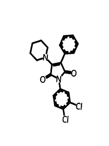 O=C1C(c2ccccc2)=C(N2CCCCC2)C(=O)N1c1ccc(Cl)c(Cl)c1